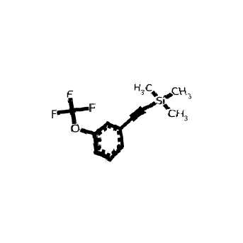 C[Si](C)(C)C#Cc1cccc(OC(F)(F)F)c1